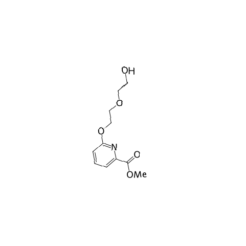 COC(=O)c1cccc(OCCOCCO)n1